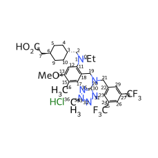 CCN(C[C@H]1CC[C@H](CC(=O)O)CC1)c1cc(OC)c(C)cc1CN(Cc1cc(C(F)(F)F)cc(C(F)(F)F)c1)c1nnn(C)n1.Cl